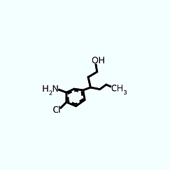 CCCC(CCO)c1ccc(Cl)c(N)c1